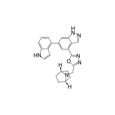 c1cc(-c2cc(-c3nnc(CN4[C@H]5CC[C@@H]4CC5)o3)c3cn[nH]c3c2)c2cc[nH]c2c1